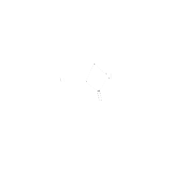 C[C@@H]1CNC1=O